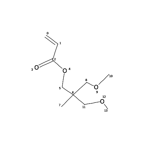 C=CC(=O)OCC(C)(COC)COC